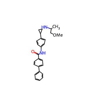 COCC(C)NC1CC1c1ccc(NC(=O)c2ccc(-c3ccccc3)cc2)cc1